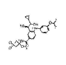 CC1(NC(=O)c2ccc(Nc3cccc(OC(F)F)c3)c(C(=N)C(O)C3CC3)c2)CS(=O)(=O)C1